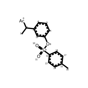 CC(=O)C(C)c1cccc(OS(=O)(=O)c2ccc(C)cc2)c1